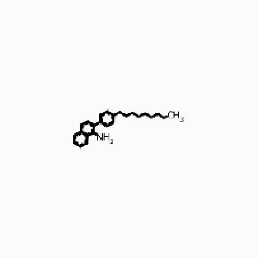 CCCCCCCCCc1ccc(-c2ccc3ccccc3c2N)cc1